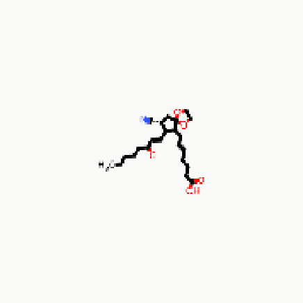 CCCCCC(=O)/C=C/C1C(C/C=C/CCCC(=O)O)C2(C[C@H]1C#N)OCCO2